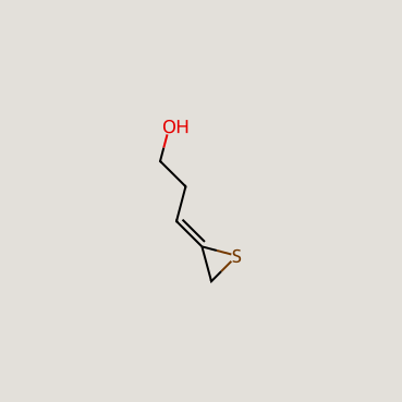 OCCC=C1CS1